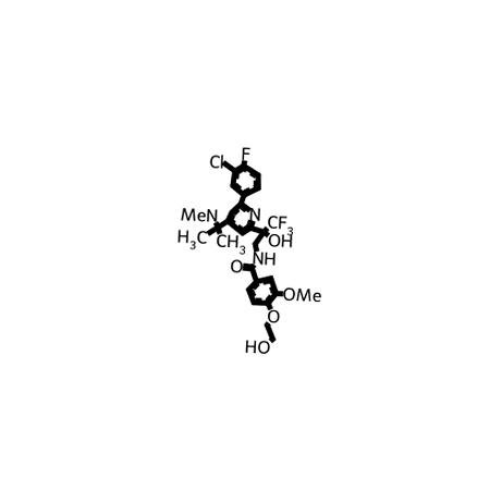 CNC(C)(C)c1cc(-c2ccc(F)c(Cl)c2)nc(C(O)(CNC(=O)c2ccc(OCCO)c(OC)c2)C(F)(F)F)c1